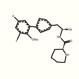 COc1c(F)cc(F)cc1-c1ccc(C[C@@H](C#N)NC(=O)[C@@H]2CCCCN2)cc1